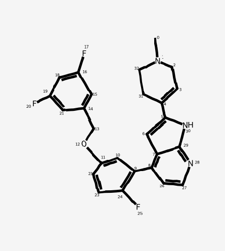 CN1CC=C(c2cc3c(-c4cc(OCc5cc(F)cc(F)c5)ccc4F)ccnc3[nH]2)CC1